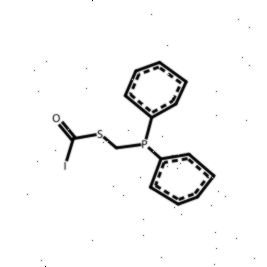 O=C(I)SCP(c1ccccc1)c1ccccc1